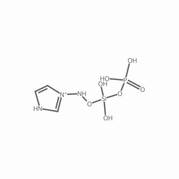 O=P(O)(O)O[Si](O)(O)ON[n+]1cc[nH]c1